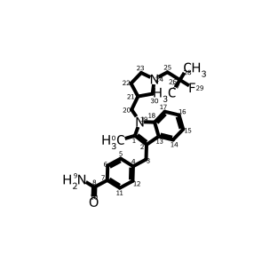 Cc1c(Cc2ccc(C(N)=O)cc2)c2ccccc2n1CC1CCN(CC(C)(C)F)C1